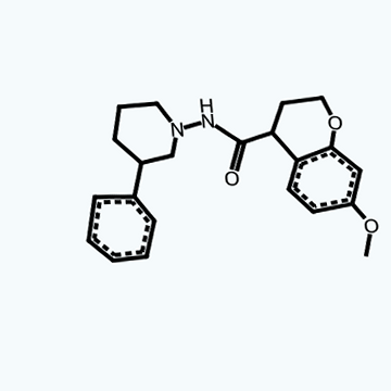 COc1ccc2c(c1)OCCC2C(=O)NN1CCCC(c2ccccc2)C1